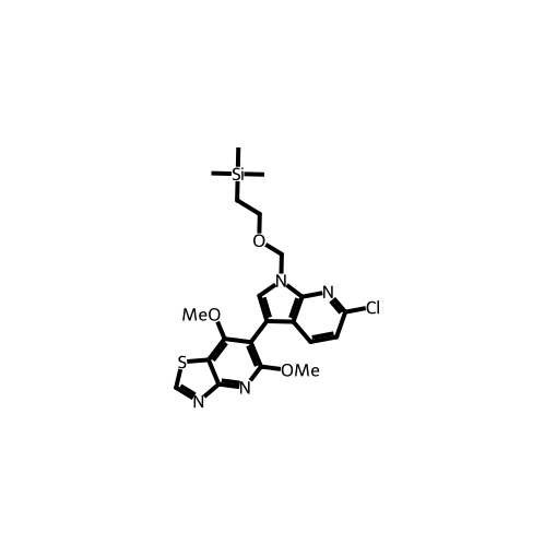 COc1nc2ncsc2c(OC)c1-c1cn(COCC[Si](C)(C)C)c2nc(Cl)ccc12